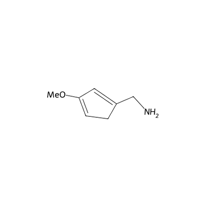 COC1=CCC(CN)=C1